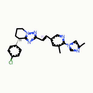 Cc1cn(-c2ncc(/C=C/c3nc4n(n3)CCC[C@H]4c3ccc(Cl)cc3)cc2C)cn1